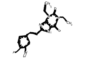 CCn1c(=O)c2[nH]c(C=Cc3ccc(F)c(Cl)c3)nc2n(CC)c1=O